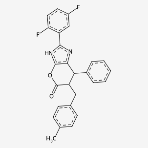 Cc1ccc(CC2C(=O)Oc3[nH]c(-c4cc(F)ccc4F)nc3C2c2ccccc2)cc1